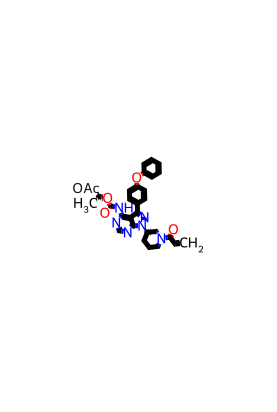 C=CC(=O)N1CCC[C@@H](n2nc(-c3ccc(Oc4ccccc4)cc3)c3c(NC(=O)O[C@H](C)OC(C)=O)ncnc32)C1